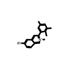 Cc1cc(C)c(C)c(-c2cc3cc(C(C)C)ccc3c[n+]2C)c1